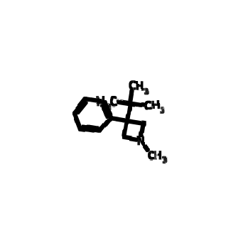 CN1CC(c2ccccc2)(C(C)(C)C)C1